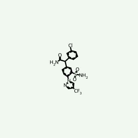 NC(=O)C(c1cccc(Cl)c1)c1ccc(-n2cc(C(F)(F)F)cn2)c(S(N)(=O)=O)c1